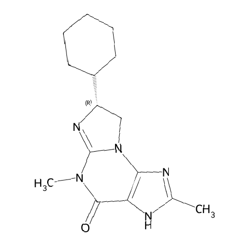 Cc1nc2c([nH]1)C(=O)N(C)C1=N[C@H](C3CCCCC3)CN12